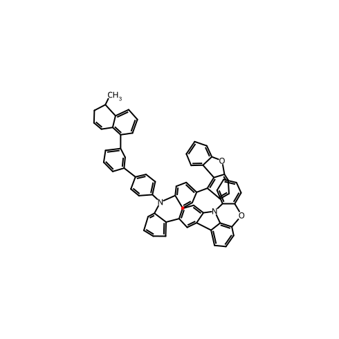 CC1CC=Cc2c(-c3cccc(-c4ccc(N(c5ccc(-c6cccc7oc8ccccc8c67)cc5)c5ccccc5-c5ccc6c(c5)c5cccc7c5n6-c5ccccc5O7)cc4)c3)cccc21